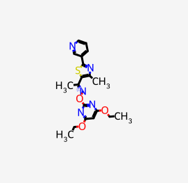 CCOc1cc(OCC)nc(O/N=C(\C)c2sc(-c3cccnc3)nc2C)n1